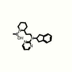 CB(O)N1CCCCC1CCN(c1ncccn1)C1Cc2ccccc2C1